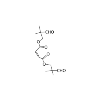 CC(C)(C=O)COC(=O)/C=C\C(=O)OCC(C)(C)C=O